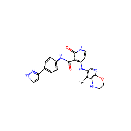 Cc1c(Nc2cc[nH]c(=O)c2C(=O)Nc2ccc(-c3cc[nH]n3)cc2)cnc2c1NCCO2